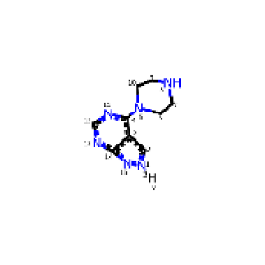 [2H]n1cc2c(N3CCNCC3)ncnc2n1